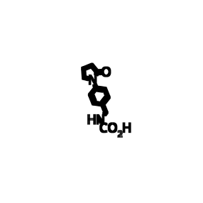 O=C(O)NCc1ccc(N2CCCC2=O)cc1